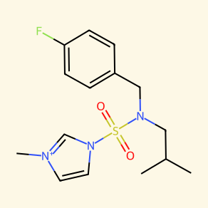 CC(C)CN(Cc1ccc(F)cc1)S(=O)(=O)n1cc[n+](C)c1